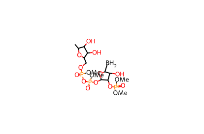 BC1OC(OP(=O)(OC)OP(=O)(OC)OCC2OC(C)C(O)C2O)C(OP(=O)(OC)OC)C1O